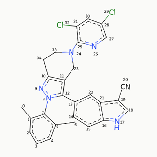 Cc1cccc(C)c1-n1nc2c(c1-c1ccc3[nH]cc(C#N)c3c1)CN(c1ncc(Cl)cc1Cl)CC2